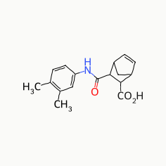 Cc1ccc(NC(=O)C2C3C=CC(C3)C2C(=O)O)cc1C